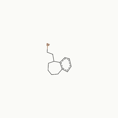 BrCCC1CCCCc2ccccc21